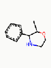 CC1OCCNC1c1ccccc1